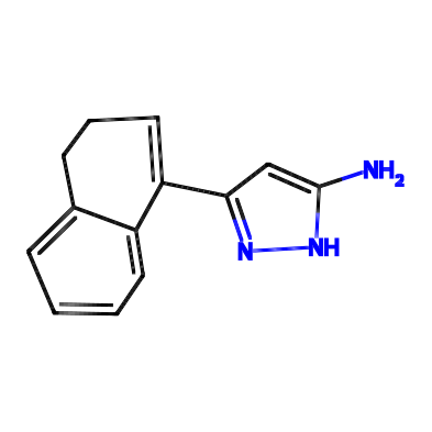 Nc1cc(C2=CCCc3ccccc32)n[nH]1